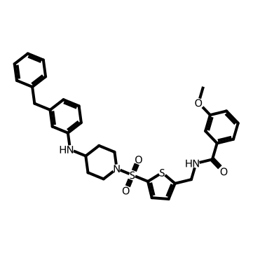 COc1cccc(C(=O)NCc2ccc(S(=O)(=O)N3CCC(Nc4cccc(Cc5ccccc5)c4)CC3)s2)c1